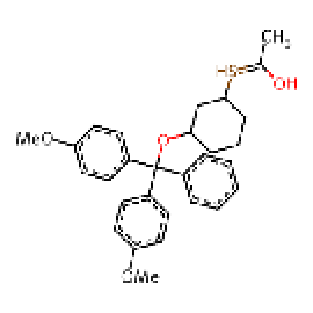 COc1ccc(C(OC2CCCC([SH]=C(C)O)C2)(c2ccccc2)c2ccc(OC)cc2)cc1